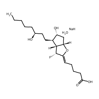 CCCCC[C@H](O)CC[C@@H]1[C@@H]2[C@H](C[C@H]1O)O/C(=C\CCCC(=O)O)[C@@H]2F.O.[NaH]